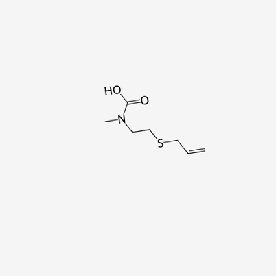 C=CCSCCN(C)C(=O)O